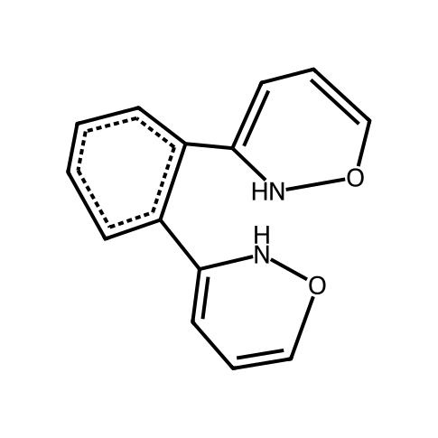 C1=CONC(c2ccccc2C2=CC=CON2)=C1